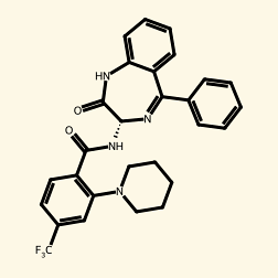 O=C(N[C@H]1N=C(c2ccccc2)c2ccccc2NC1=O)c1ccc(C(F)(F)F)cc1N1CCCCC1